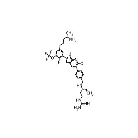 C=C[C@@H](CCNC(=N)N)NCc1ccc(-n2cc3cc(-c4cc(CCC[C@H](C)N)cc(OC(F)(F)F)c4F)[nH]c3nc2=O)cc1